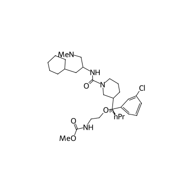 CCC[C@](OCCNC(=O)OC)(c1cccc(Cl)c1)C1CCCN(C(=O)NC(CNC)CC2CCCCC2)C1